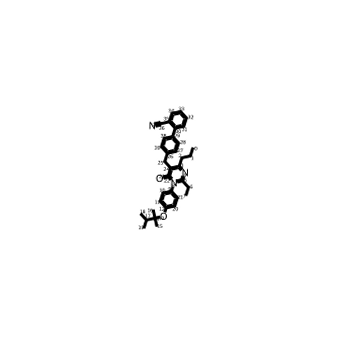 CCCc1nc(CC)n(-c2ccc(OC(C)(C)C(C)C)cc2)c(=O)c1Cc1ccc(-c2ccccc2C#N)cc1